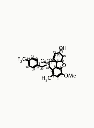 COc1cc(C)c2c3c1OC1C[C@H](O)C=CC31CC[N+](C)(Cc1ccc(C(F)(F)F)cc1)C2